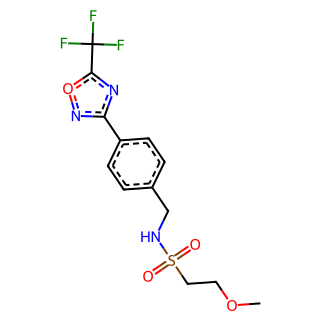 COCCS(=O)(=O)NCc1ccc(-c2noc(C(F)(F)F)n2)cc1